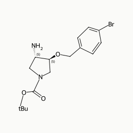 CC(C)(C)OC(=O)N1C[C@H](OCc2ccc(Br)cc2)[C@@H](N)C1